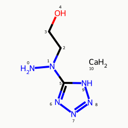 NN(CCO)c1nnn[nH]1.[CaH2]